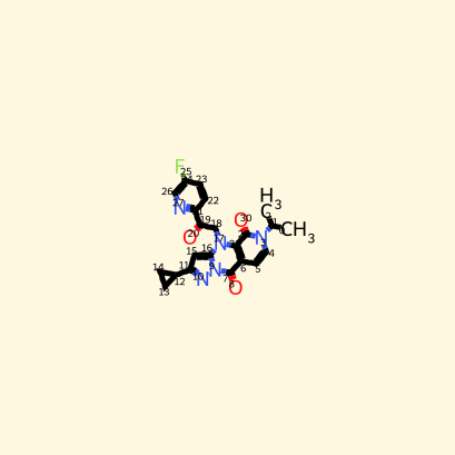 CC(C)n1ccc2c(=O)n3nc(C4CC4)cc3n(CC(=O)c3ccc(F)cn3)c2c1=O